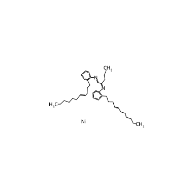 CCCCCC/C=C/CCCc1ccccc1/N=C(\C=N\c1ccccc1CCC/C=C/CCCCCC)CCCC.[Ni]